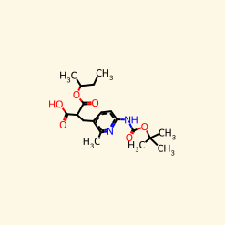 CCC(C)OC(=O)C(Cc1ccc(NC(=O)OC(C)(C)C)nc1C)C(=O)O